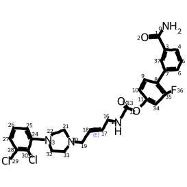 NC(=O)c1cccc(-c2ccc(OC(=O)NC/C=C/CN3CCN(c4cccc(Cl)c4Cl)CC3)cc2F)c1